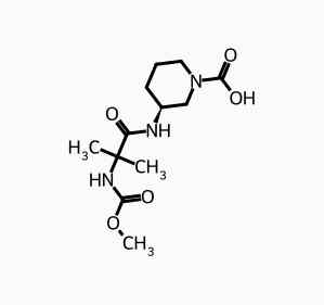 COC(=O)NC(C)(C)C(=O)N[C@H]1CCCN(C(=O)O)C1